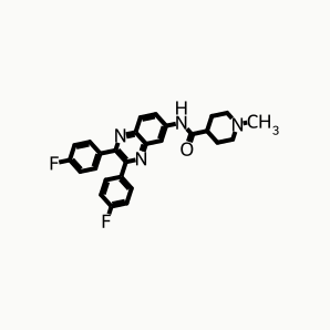 CN1CCC(C(=O)Nc2ccc3nc(-c4ccc(F)cc4)c(-c4ccc(F)cc4)nc3c2)CC1